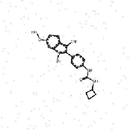 CCCOc1ccc2c(C#N)c(-c3ccc(NC(=O)NC4CCC4)cc3)n(C(C)C)c2c1